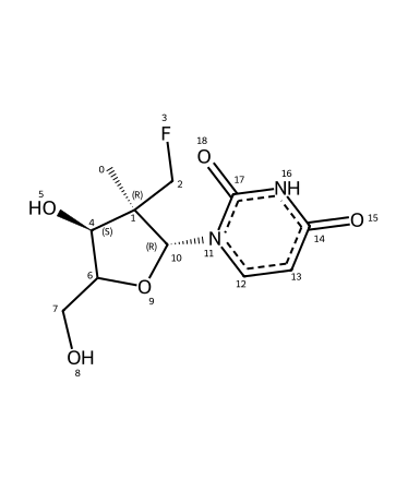 C[C@@]1(CF)[C@H](O)C(CO)O[C@H]1n1ccc(=O)[nH]c1=O